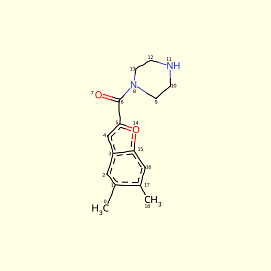 Cc1cc2cc(C(=O)N3CCNCC3)oc2cc1C